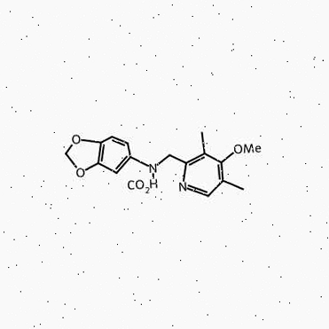 COc1c(C)cnc(CN(C(=O)O)c2ccc3c(c2)OCO3)c1C